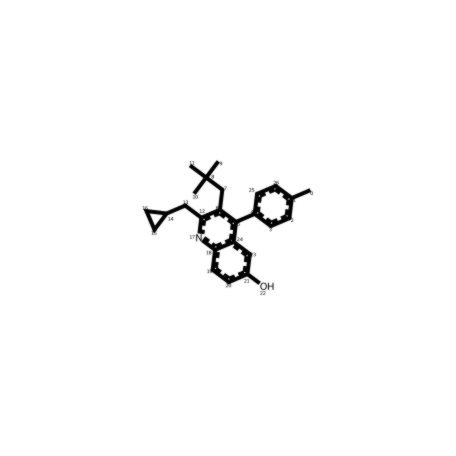 Cc1ccc(-c2c(CC(C)(C)C)c(CC3CC3)nc3ccc(O)cc23)cc1